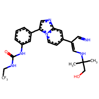 CC(C)(CO)N/C=C(\C=N)c1ccn2c(-c3cccc(NC(=O)NCC(F)(F)F)c3)cnc2c1